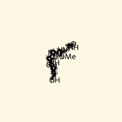 COc1nc(-c2ccnc(-c3cccc(NC(=O)c4cc5c(cn4)CN(CCO)C5)c3C)c2Cl)ccc1CNC[C@@H]1CCC(=O)N1